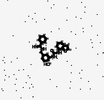 Cl.N=C(NCc1cccc(NC(=O)Nc2cccc3ccoc23)c1)c1ccccc1